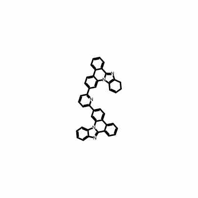 C1=Cc2c(nc3c4ccccc4c4ccc(-c5cccc(-c6ccc7c8ccccc8c8nc9ccccc9n8c7c6)n5)cc4n23)CC1